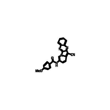 COc1ccc(C(=O)Nc2ccc3c(C#N)c4nc5ccccc5nc4n3c2)cc1